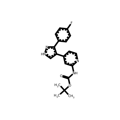 CC(C)(C)OC(=O)Nc1cc(-c2c[nH]nc2-c2ccc(F)cc2)ccn1